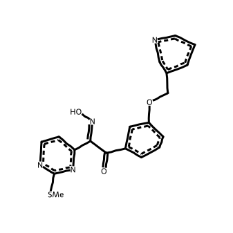 CSc1nccc(/C(=N\O)C(=O)c2cccc(OCc3cccnc3)c2)n1